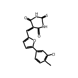 Cc1ccc(-c2ccc(C=C3C(=O)NC(=S)NC3=O)o2)cc1Cl